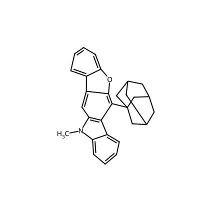 Cn1c2ccccc2c2c(C34CC5CC(CC(C5)C3)C4)c3oc4ccccc4c3cc21